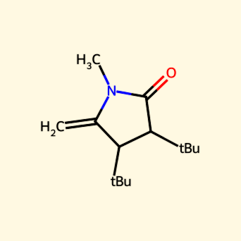 C=C1C(C(C)(C)C)C(C(C)(C)C)C(=O)N1C